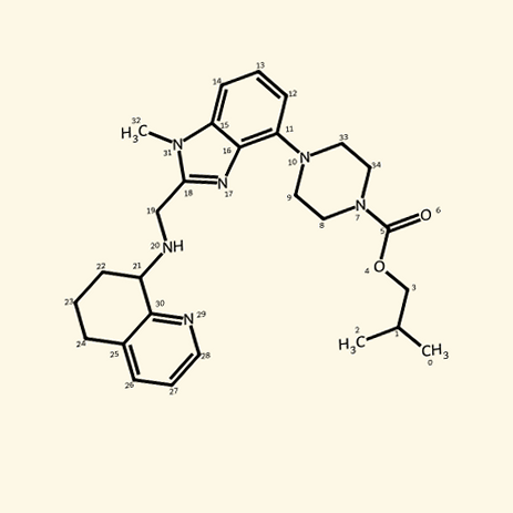 CC(C)COC(=O)N1CCN(c2cccc3c2nc(CNC2CCCc4cccnc42)n3C)CC1